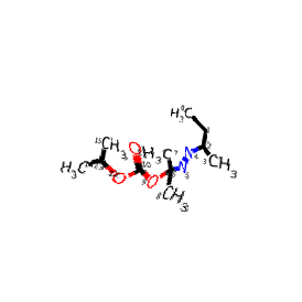 CCC(C)N=NC(C)(C)OC(=O)OC(C)C